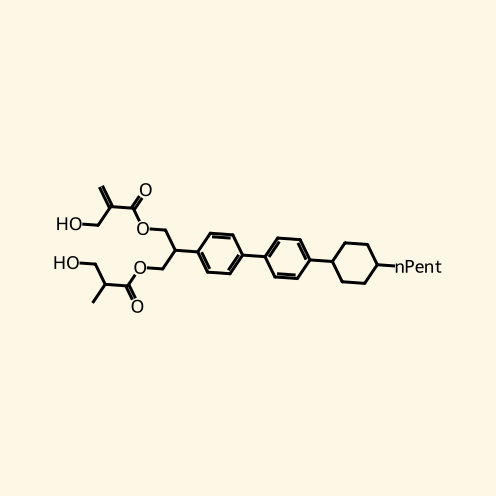 C=C(CO)C(=O)OCC(COC(=O)C(C)CO)c1ccc(-c2ccc(C3CCC(CCCCC)CC3)cc2)cc1